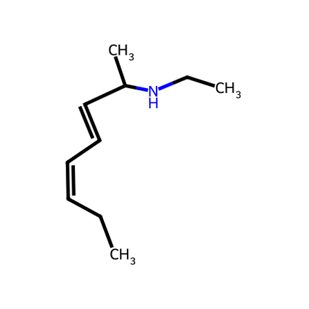 CC/C=C\C=CC(C)NCC